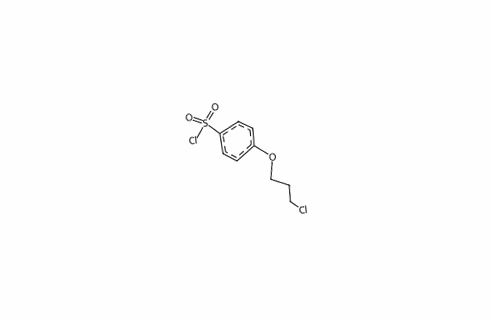 O=S(=O)(Cl)c1ccc(OCCCCl)cc1